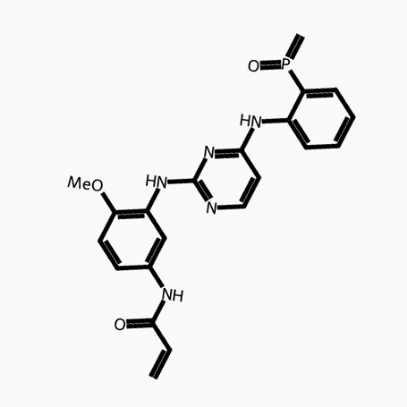 C=CC(=O)Nc1ccc(OC)c(Nc2nccc(Nc3ccccc3P(=C)=O)n2)c1